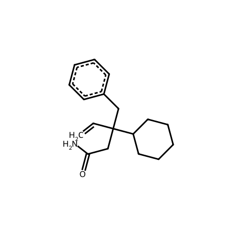 C=CC(CC(N)=O)(Cc1ccccc1)C1CCCCC1